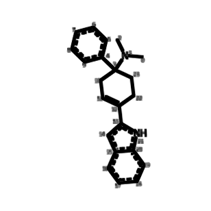 CN(C)C1(c2ccccc2)CC=C(c2cc3ccccc3[nH]2)CC1